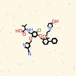 CC(C)C(NCc1cc(Cl)c(OCC2(OCCCN3CC[C@@H](O)C3)C=CC=C(c3ccccc3)C2(C)C)cc1OCc1cncc(C#N)c1)C(=O)O